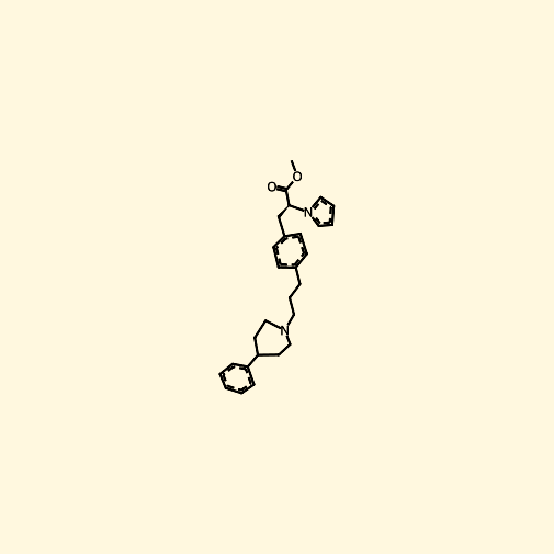 COC(=O)[C@H](Cc1ccc(CCCN2CCC(c3ccccc3)CC2)cc1)n1cccc1